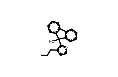 CCCc1ccsc1C1(O)c2ccccc2-c2ccccc21